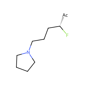 CC(=O)[C@H](F)CCCN1CCCC1